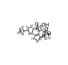 CC(C)C(=O)C1=C(O)C(=O)N(c2ccc(-c3ccsc3)cc2)C1c1ccccc1N1CCOCC1